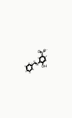 O=[N+]([O-])c1ccc(O)c(N=Cc2ccccc2)c1